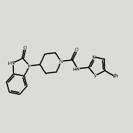 CC(C)c1cnc(NC(=O)N2CCC(n3c(=O)[nH]c4ccccc43)CC2)s1